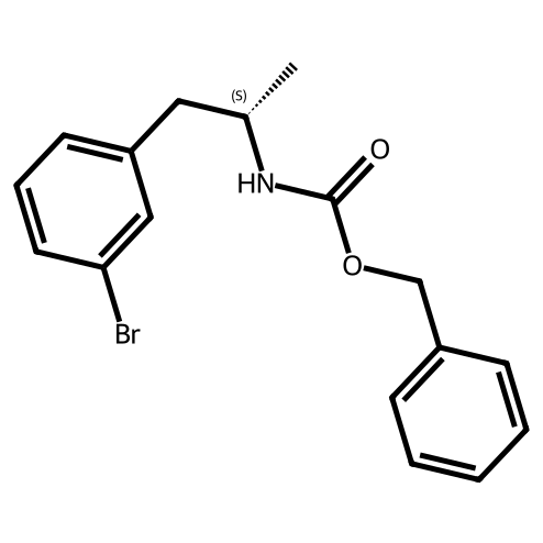 C[C@@H](Cc1cccc(Br)c1)NC(=O)OCc1ccccc1